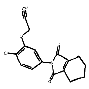 C#CCOc1cc(N2C(=O)C3=C(CCCC3)C2=O)ccc1Cl